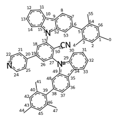 Cc1cc(C)c(-c2ccc3c4ccccc4n(-c4cc(-c5ccncc5)cc(-n5c6ccccc6c6ccc(-c7c(C)cc(C)cc7C)cc65)c4C#N)c3c2)c(C)c1